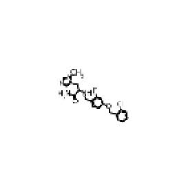 Cn1cncc1CC(NCc1ccc(OCc2ccccc2Cl)cc1F)C(N)=O